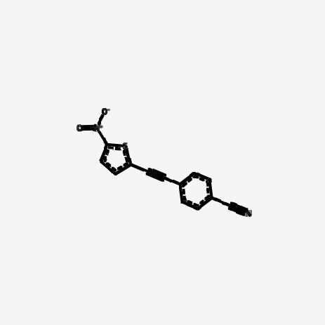 N#Cc1ccc(C#Cc2ccc([N+](=O)[O-])s2)cc1